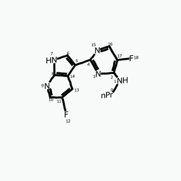 CCCNc1nc(-c2c[nH]c3ncc(F)cc23)ncc1F